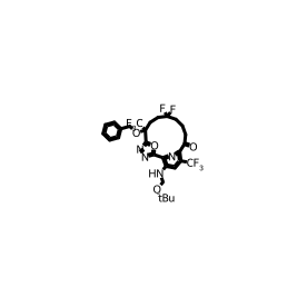 CC(C)(C)OCNc1cc(C(F)(F)F)c2nc1-c1nnc(o1)C(OCc1ccccc1)(C(F)(F)F)CCC(F)(F)CCCC2=O